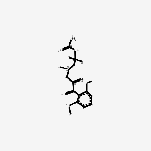 COc1cccc(OC)c1C(=O)C(=N)C[C@@H](C)CC(C)(C)OC(N)=O